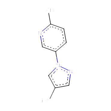 CCCc1cnn(-c2ccc(C)nc2)c1